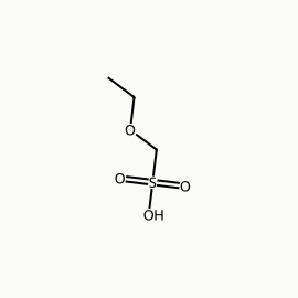 CCOCS(=O)(=O)O